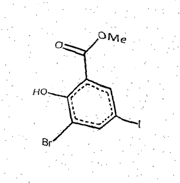 COC(=O)c1cc(I)cc(Br)c1O